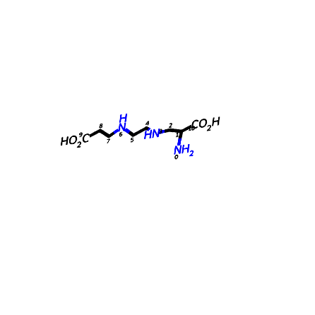 NC(CNCCNCCC(=O)O)C(=O)O